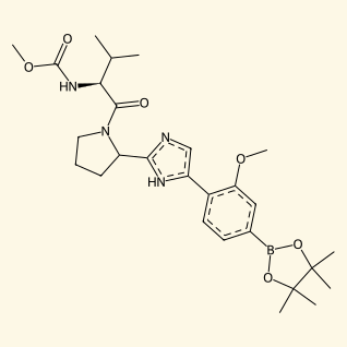 COC(=O)N[C@H](C(=O)N1CCCC1c1ncc(-c2ccc(B3OC(C)(C)C(C)(C)O3)cc2OC)[nH]1)C(C)C